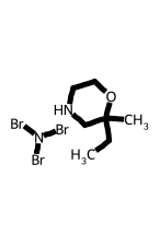 BrN(Br)Br.CCC1(C)CNCCO1